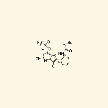 CC(C)(C)OC(=O)N[C@H]1CC=CC[C@@H]1c1sc2c(OS(=O)(=O)C(F)(F)F)cc(Cl)nc2c1Cl